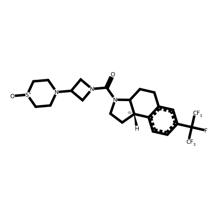 O=C(N1CC(N2CC[S+]([O-])CC2)C1)N1CC[C@H]2c3ccc(C(F)(C(F)(F)F)C(F)(F)F)cc3CCC21